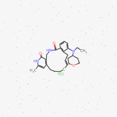 CCN(c1cccc2c1C/C=C/CCCCc1cc(C)[nH]c(=O)c1CNC2=O)C1CCOCC1.Cl